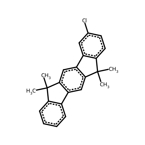 CC1(C)c2ccccc2-c2cc3c(cc21)-c1cc(Cl)ccc1C3(C)C